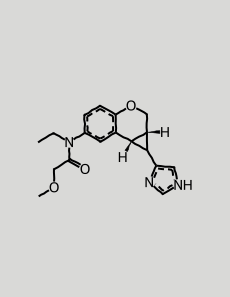 CCN(C(=O)COC)c1ccc2c(c1)[C@H]1C(c3c[nH]cn3)[C@H]1CO2